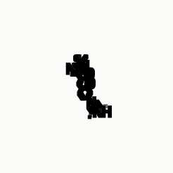 Cc1nn2c(-c3cc4ccc(N5C[C@@H](C)N[C@@H](C)C5)cc4oc3=O)cnc2s1